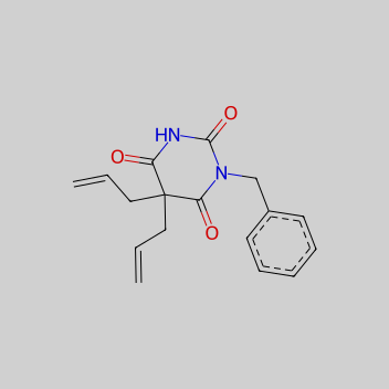 C=CCC1(CC=C)C(=O)NC(=O)N(Cc2ccccc2)C1=O